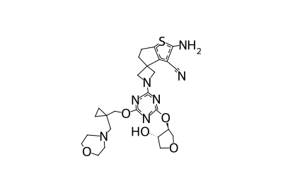 N#Cc1c(N)sc2c1C1(CC2)CN(c2nc(OCC3(CN4CCOCC4)CC3)nc(O[C@H]3COC[C@@H]3O)n2)C1